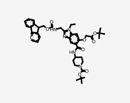 CCn1c(CNC(=O)OCC2c3ccccc3-c3ccccc32)nc2cc(C(=O)NC3CCN(C(=O)OC(C)(C)C)CC3)c(OCC(=O)OC(C)(C)C)cc21